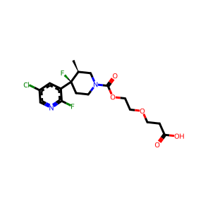 C[C@H]1CN(C(=O)OCCOCCC(=O)O)CC[C@]1(F)c1cc(Cl)cnc1F